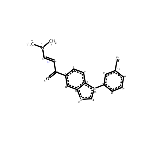 CN(C)/C=C/C(=O)c1ccc2c(c1)ncn2-c1cccc(Br)c1